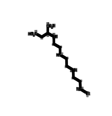 CCNCCNCCNCCNC(CC(=O)O)C(=O)O